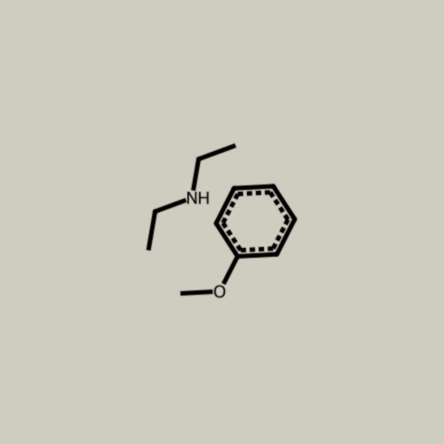 CCNCC.COc1ccccc1